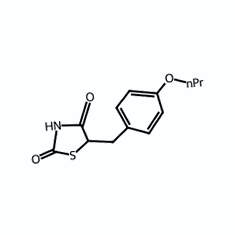 CCCOc1ccc(CC2SC(=O)NC2=O)cc1